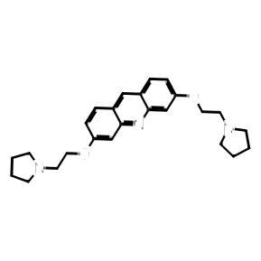 c1cc2cc3ccc(OCCN4CCCC4)cc3nc2cc1OCCN1CCCC1